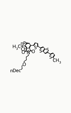 CCCCCCCCCCCCOCCCCN1C(=O)c2c(-c3ccc(-c4cc5sc(-c6ccc(C)s6)cc5s4)s3)ccc(C(C)(C)CCC)c2C1=O